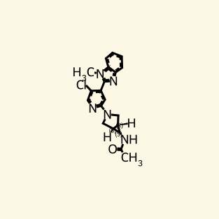 CC(=O)N[C@H]1[C@@H]2CN(c3cc(-c4nc5ccccc5n4C)c(Cl)cn3)C[C@@H]21